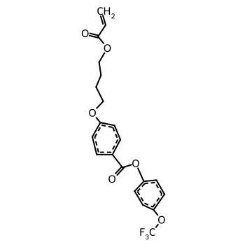 C=CC(=O)OCCCCOc1ccc(C(=O)Oc2ccc(OC(F)(F)F)cc2)cc1